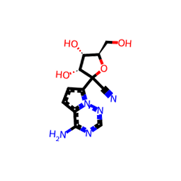 N#CC1(c2ccc3c(N)ncnn23)O[C@H](CO)[C@@H](O)[C@H]1O